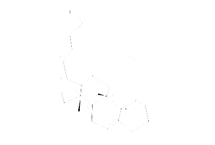 CC(C)CCC[C@@H](C)[C@H]1CC[C@H]2[C@@H]3CC=C4C[C@@H](O)CC[C@]4(C)[C@H]3CC[C@]12C.O=C(O)O